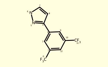 FC(F)(F)c1cc(C2=N[N]C=C2)cc(C(F)(F)F)c1